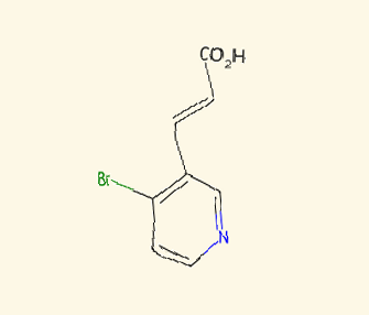 O=C(O)C=Cc1cnccc1Br